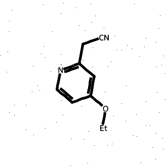 CCOc1ccnc(CC#N)c1